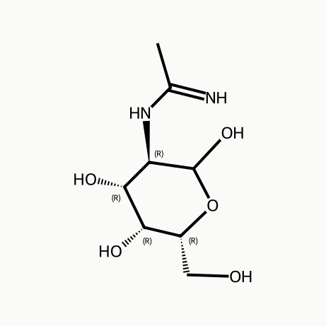 CC(=N)N[C@H]1C(O)O[C@H](CO)[C@H](O)[C@@H]1O